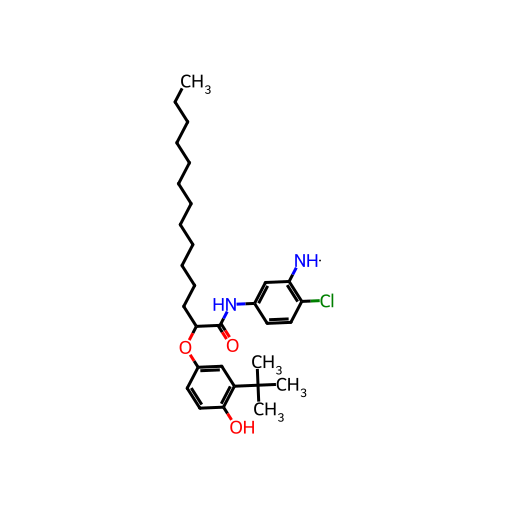 CCCCCCCCCCCCC(Oc1ccc(O)c(C(C)(C)C)c1)C(=O)Nc1ccc(Cl)c([NH])c1